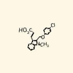 Cn1c(COc2ccc(Cl)cc2)c(C=CC(=O)O)c2ccccc21